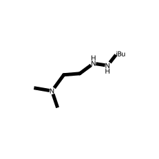 CCC(C)NNCCN(C)C